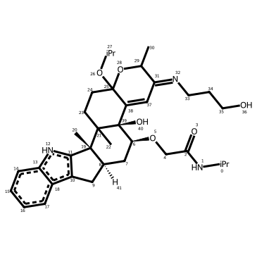 CC(C)NC(=O)CO[C@H]1C[C@H]2Cc3c([nH]c4ccccc34)[C@]2(C)C2(C)CCC3(OC(C)C)OC(C)/C(=N/CCCO)C=C3[C@]12O